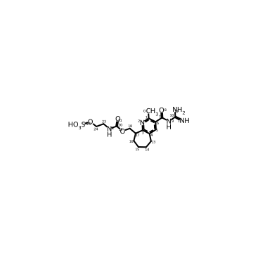 Cc1nc2c(cc1C(=O)NC(=N)N)CCCCC2COC(=O)NCCOS(=O)(=O)O